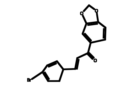 O=C(C=CC1C=CC(Br)=CC1)c1ccc2c(c1)OCO2